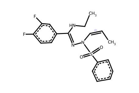 C/C=C\N(N=C(NCC)c1ccc(F)c(F)c1)S(=O)(=O)c1ccccc1